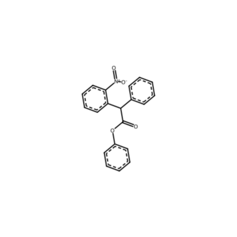 O=C(Oc1ccccc1)C(c1ccccc1)c1ccccc1[N+](=O)[O-]